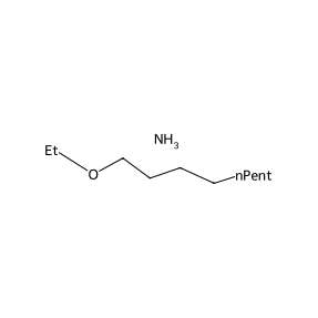 CCCCCCCCCOCC.N